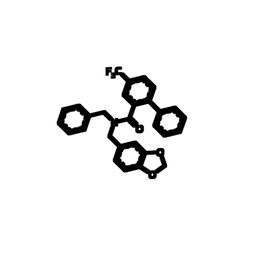 O=C(c1cc(C(F)(F)F)ccc1-c1ccccc1)N(Cc1ccccc1)Cc1ccc2c(c1)OCO2